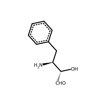 N[C@@H](Cc1ccccc1)[C@H](O)C=O